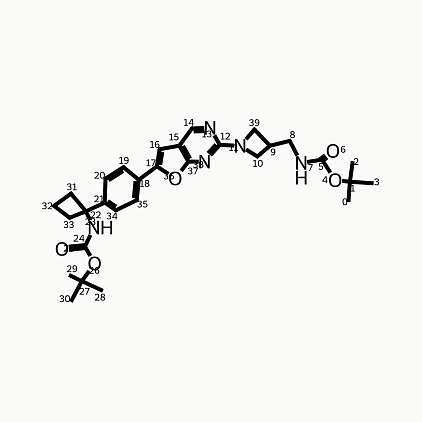 CC(C)(C)OC(=O)NCC1CN(c2ncc3cc(-c4ccc(C5(NC(=O)OC(C)(C)C)CCC5)cc4)oc3n2)C1